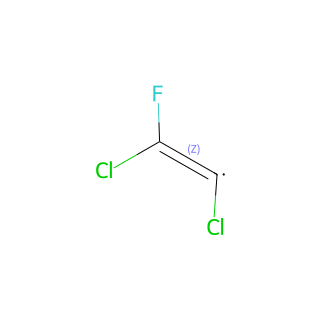 F/C(Cl)=[C]/Cl